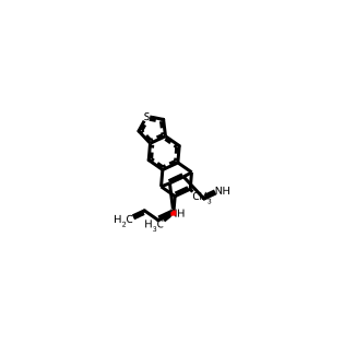 C=C/C=C\C1=C(C)C2C(C=N)=C(NC)C1c1cc3cscc3cc12